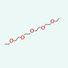 [CH2]COCCOCCOCCOCCOCC